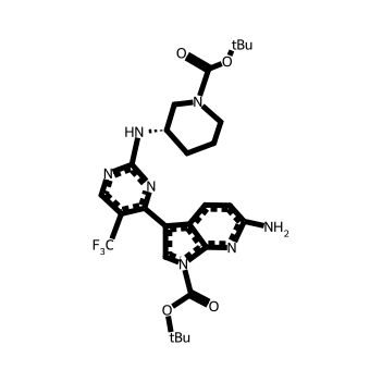 CC(C)(C)OC(=O)N1CCC[C@H](Nc2ncc(C(F)(F)F)c(-c3cn(C(=O)OC(C)(C)C)c4nc(N)ccc34)n2)C1